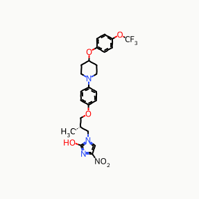 C[C@H](COc1ccc(N2CCC(Oc3ccc(OC(F)(F)F)cc3)CC2)cc1)Cn1cc([N+](=O)[O-])nc1O